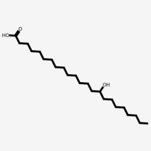 CCCCCCCCC(O)CCCCCCCCCCCCCC(=O)O